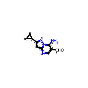 Nc1c(C=O)cnc2cc(C3CC3)nn12